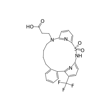 O=C(O)CCN1CCCCc2ccccc2-c2nc(ccc2C(F)(F)F)NS(=O)(=O)c2cccc1n2